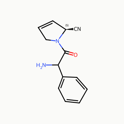 N#C[C@@H]1C=CCN1C(=O)C(N)c1ccccc1